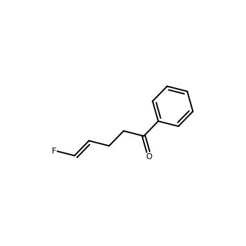 O=C(CCC=CF)c1ccccc1